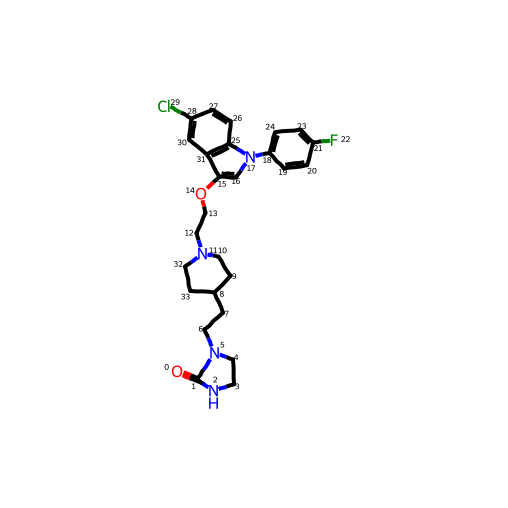 O=C1NCCN1CCC1CCN(CCOc2cn(-c3ccc(F)cc3)c3ccc(Cl)cc23)CC1